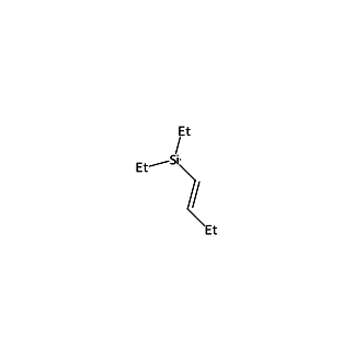 CCC=C[Si](CC)CC